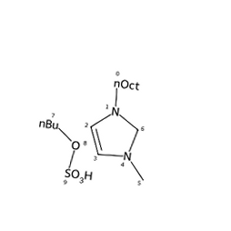 CCCCCCCCN1C=CN(C)C1.CCCCOS(=O)(=O)O